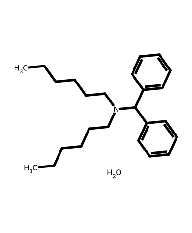 CCCCCCN(CCCCCC)C(c1ccccc1)c1ccccc1.O